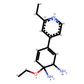 CCOC1(N)C=CC(c2ccnc(CC)c2)=CC1N